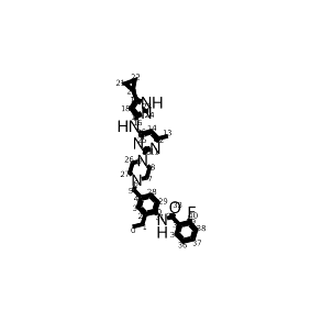 CCc1cc(CN2CCN(c3nc(C)cc(Nc4cc(C5CC5)[nH]n4)n3)CC2)ccc1NC(=O)c1ccccc1F